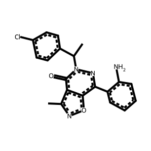 Cc1noc2c(-c3ccccc3N)nn(C(C)c3ccc(Cl)cc3)c(=O)c12